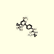 CC1(NC(=O)Nc2ccc(-c3nc(N)cc(C4(S(=O)(=O)N=O)CC4)n3)cc2)CC1